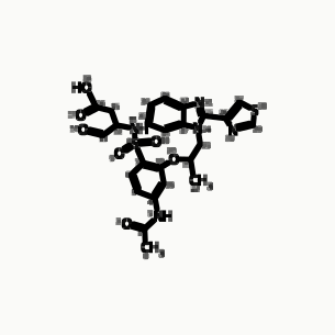 CC(=O)Nc1ccc(S(=O)(=O)NC(C=O)CC(=O)O)c(OC(C)Cn2c(-c3cscn3)nc3ccccc32)c1